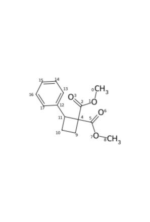 COC(=O)C1(C(=O)OC)CCC1c1ccccc1